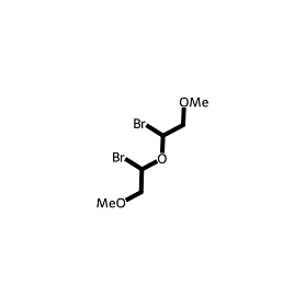 COCC(Br)OC(Br)COC